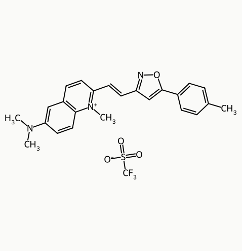 Cc1ccc(-c2cc(C=Cc3ccc4cc(N(C)C)ccc4[n+]3C)no2)cc1.O=S(=O)([O-])C(F)(F)F